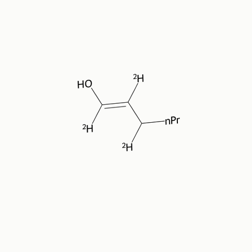 [2H]C(O)=C([2H])C([2H])CCC